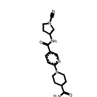 N#CN1CCC(NC(=O)c2ccc(N3CCC(C(N)=O)CC3)nc2)C1